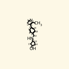 Cc1ncsc1-c1ccc(CNC2CC[C@@H](O)C2)cc1